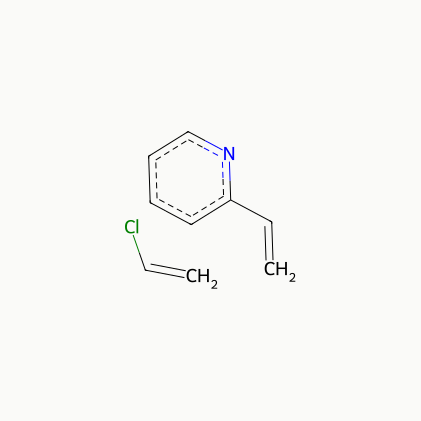 C=CCl.C=Cc1ccccn1